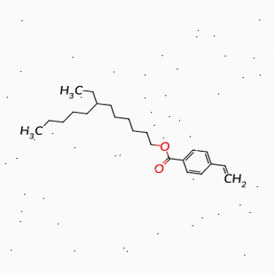 C=Cc1ccc(C(=O)OCCCCCCC(CC)CCCCC)cc1